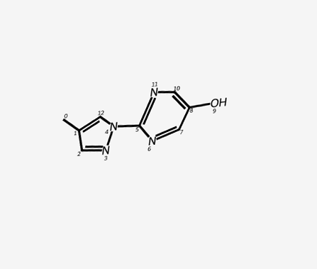 Cc1cnn(-c2ncc(O)cn2)c1